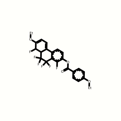 CCOC1=CC=C2c3ccc(OC(=O)c4ccc(OCC)cc4)c(F)c3C(F)(F)C(F)(F)C2C1F